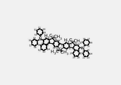 CC1(C)c2cc3c(cc2-c2c1cc(N(c1ccccc1)c1ccccc1)c1ccccc21)[Si](C)(C)c1cc2c(cc1-3)C(C)(C)c1cc(N(c3ccccc3)c3ccccc3)c3ccccc3c1-2